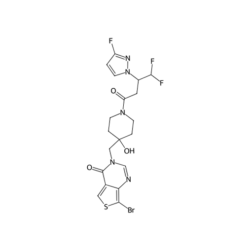 O=C(CC(C(F)F)n1ccc(F)n1)N1CCC(O)(Cn2cnc3c(Br)scc3c2=O)CC1